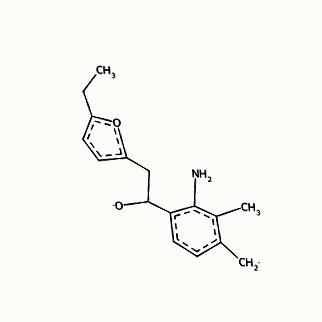 [CH2]c1ccc(C([O])Cc2ccc(CC)o2)c(N)c1C